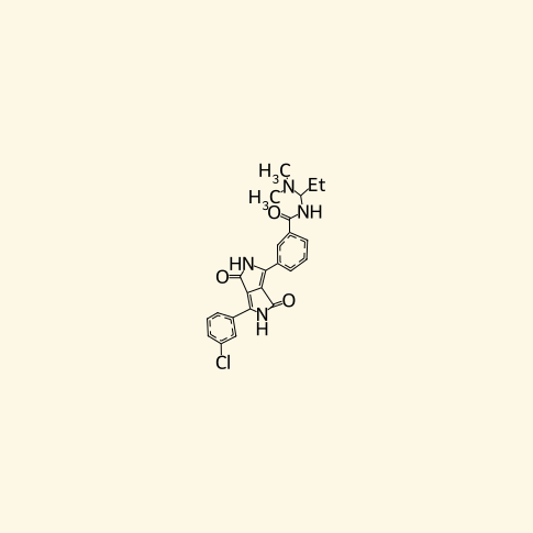 CCC(NC(=O)c1cccc(C2=C3C(=O)NC(c4cccc(Cl)c4)=C3C(=O)N2)c1)N(C)C